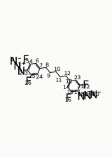 [N-]=[N+]=Nc1c(F)cc(CCCCCc2cc(F)c(N=[N+]=[N-])c(F)c2)cc1F